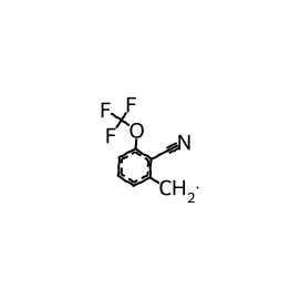 [CH2]c1cccc(OC(F)(F)F)c1C#N